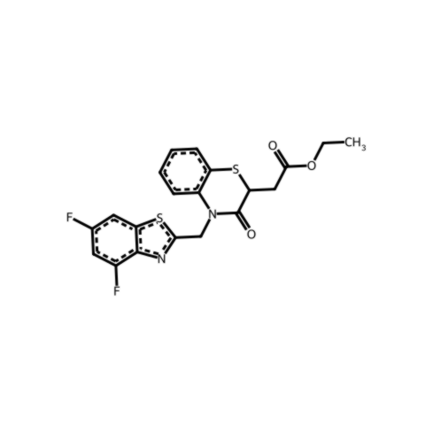 CCOC(=O)CC1Sc2ccccc2N(Cc2nc3c(F)cc(F)cc3s2)C1=O